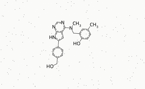 Cc1ccc(O)c(CN(C)c2ncnc3[nH]c(-c4ccc(CO)cc4)cc23)c1